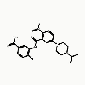 Cc1ccc(C(=O)O)cc1NC(=O)c1cc(N2CCN(C(C)C)CC2)ccc1[N+](=O)[O-]